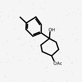 CC(=O)OC1CCC(O)(c2ccc(C)cc2)CC1